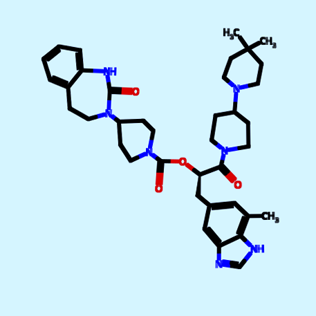 Cc1cc(C[C@@H](OC(=O)N2CCC(N3CCc4ccccc4NC3=O)CC2)C(=O)N2CCC(N3CCC(C)(C)CC3)CC2)cc2nc[nH]c12